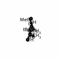 COc1ccccc1CNC(=O)Cc1cccc(C[C@@H](C)NC[C@H](O[Si](C)(C)C(C)(C)C)c2ccc(OCc3ccccc3)c(NS(C)(=O)=O)c2)c1